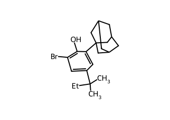 CCC(C)(C)c1cc(Br)c(O)c(C23CC4CC(CC(C4)C2)C3)c1